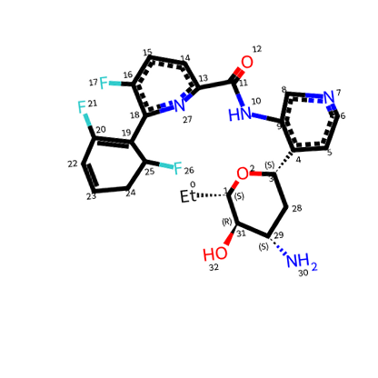 CC[C@@H]1O[C@H](c2ccncc2NC(=O)c2ccc(F)c(C3=C(F)C=CCC3F)n2)C[C@H](N)[C@H]1O